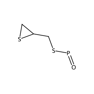 O=PSCC1CS1